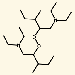 CCC(C)C(CN(CC)CC)OOC(CN(CC)CC)C(C)CC